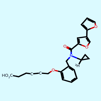 [2H]C1(N(Cc2ccccc2OCCCCCC(=O)O)C(=O)c2cc(-c3ccco3)co2)CC1